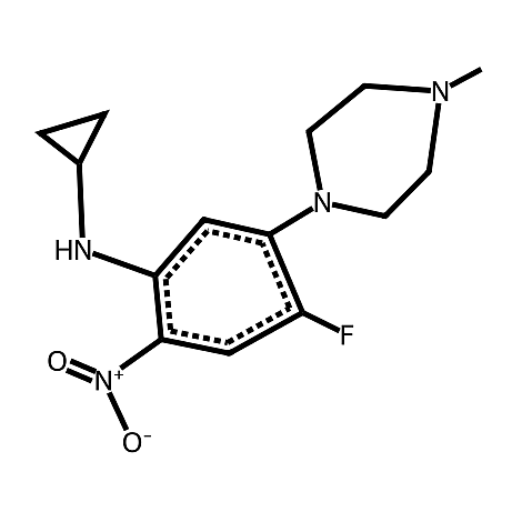 CN1CCN(c2cc(NC3CC3)c([N+](=O)[O-])cc2F)CC1